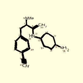 C#Cc1ccc(CC(NC)C(=C)NC2CCC(N)CC2)cc1